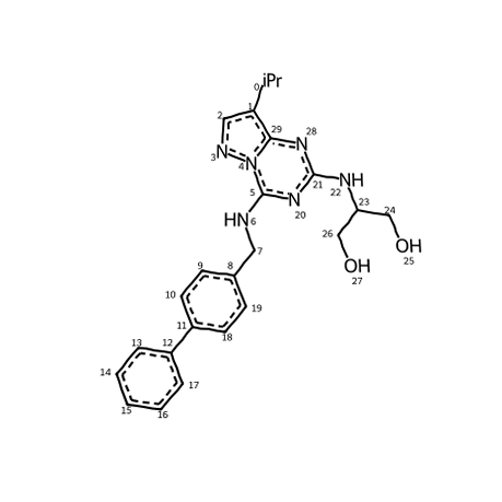 CC(C)c1cnn2c(NCc3ccc(-c4ccccc4)cc3)nc(NC(CO)CO)nc12